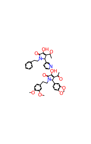 CC(=O)C1=C(O)C(=O)N(CCc2ccccc2)C1c1cccnc1.COc1ccc(CCN2C(=O)C(O)=C(C(C)=O)C2c2ccc3c(c2)OCO3)cc1OC